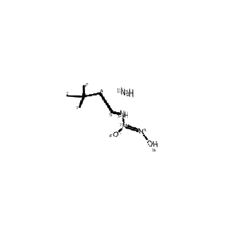 CC(C)(C)CCN[N+]([O-])=NO.[NaH]